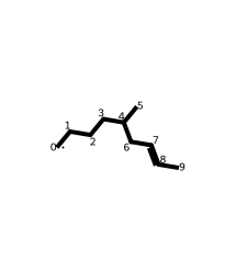 [CH2]CCCC(C)CC=CC